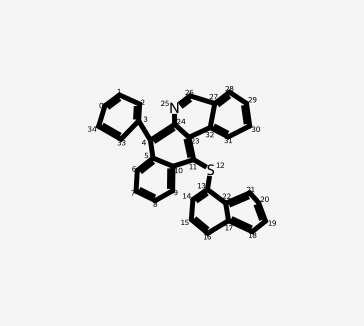 c1ccc(-c2c3ccccc3c(Sc3cccc4ccccc34)c3c2ncc2ccccc23)cc1